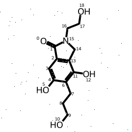 O=C1c2cc(O)c(CCCO)c(O)c2CN1CCO